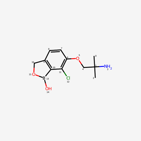 CC(C)(N)COc1ccc2c(c1Cl)B(O)OC2